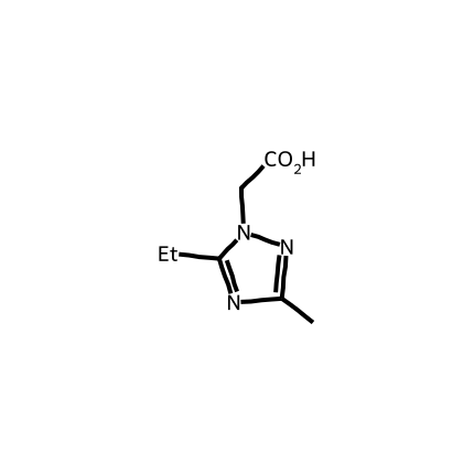 CCc1nc(C)nn1CC(=O)O